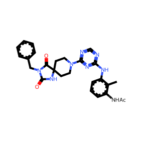 CC(=O)Nc1cccc(Nc2ncnc(N3CCC4(CC3)NC(=O)N(Cc3ccccc3)C4=O)n2)c1C